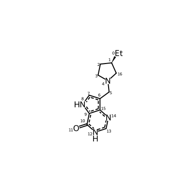 CC[C@@H]1CCN(Cc2c[nH]c3c(=O)[nH]cnc23)C1